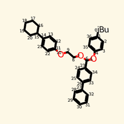 CCC(C)c1ccc(OC(OCCOc2ccc(C3CCCCC3)cc2)c2ccc(-c3ccccc3)cc2)cc1